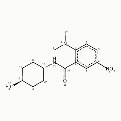 CN(C)c1ccc([N+](=O)[O-])cc1C(=O)N[C@H]1CC[C@H](C(F)(F)F)CC1